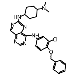 CN(C)C1CCC(Nc2ncc3ncnc(Nc4ccc(OCc5ccccc5)c(Cl)c4)c3n2)CC1